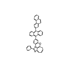 C1=CCC2=c3c(nc(-c4ccccc4)n3-c3ccc(-c4c5ccccc5c(-c5ccc6c(ccc7ccccc76)c5)c5ccccc45)cc3O2)=C1